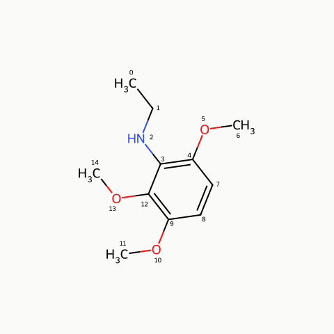 CCNc1c(OC)ccc(OC)c1OC